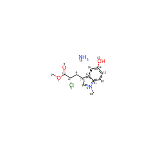 COC(=O)[C@@H](Cl)Cc1cn(C)c2ccc(O)cc12.N